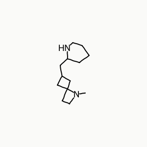 CN1CCC12CC(CC1CCCCN1)C2